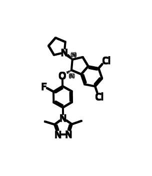 Cc1nnc(C)n1-c1ccc(O[C@H]2c3cc(Cl)cc(Cl)c3C[C@@H]2N2CCCC2)c(F)c1